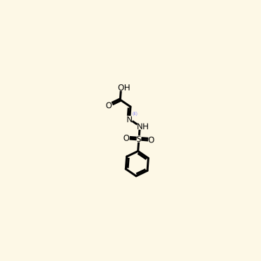 O=C(O)/C=N/NS(=O)(=O)c1ccccc1